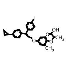 Cc1cc(OCC=C(c2ccc(I)cc2)c2ccc(C3CC3)cc2)ccc1OC(C)C(=O)O